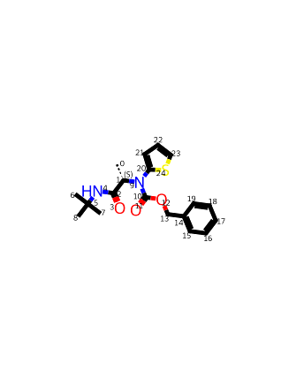 C[C@@H](C(=O)NC(C)(C)C)N(C(=O)OCc1ccccc1)c1cccs1